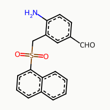 Nc1ccc(C=O)cc1CS(=O)(=O)c1cccc2ccccc12